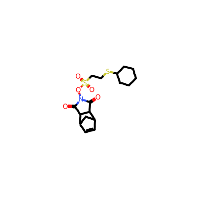 O=C1C2C3C=CC(C3)C2C(=O)N1OS(=O)(=O)CCSC1CCCCC1